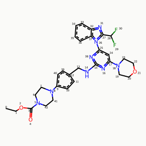 CCOC(=O)N1CCN(c2ccc(CNc3nc(N4CCOCC4)cc(-n4c(C(F)F)nc5ccccc54)n3)cc2)CC1